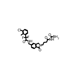 BC(=O)NC(=O)CCCN1Cc2cc(CNC(=O)C(F)(F)c3cccc(Cl)c3C)ccc2C1=O